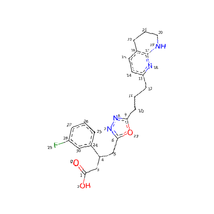 O=C(O)CC(Cc1nnc(CCCc2ccc3c(n2)NCCC3)o1)c1cccc(F)c1